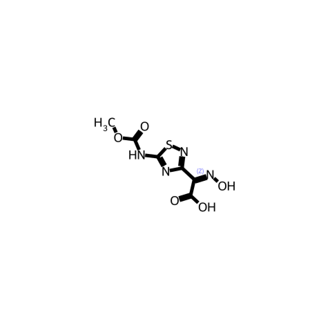 COC(=O)Nc1nc(/C(=N/O)C(=O)O)ns1